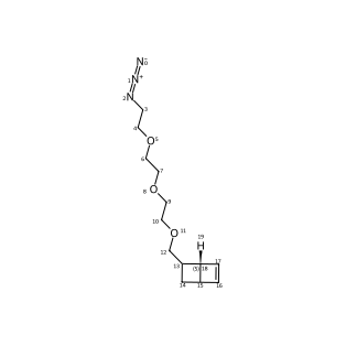 [N-]=[N+]=NCCOCCOCCOCC1CC2C=C[C@H]21